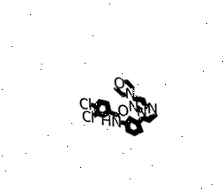 O=C(Nc1cccc(-c2ccnc3cc(N4CCOCC4)nn23)c1)c1ccc(Cl)c(Cl)c1